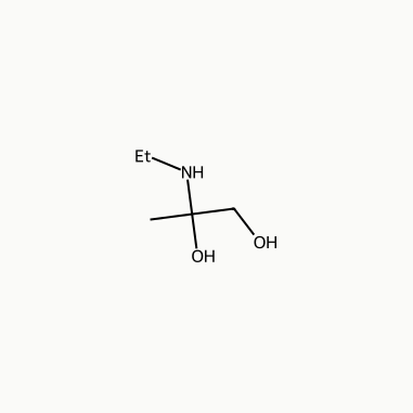 CCNC(C)(O)CO